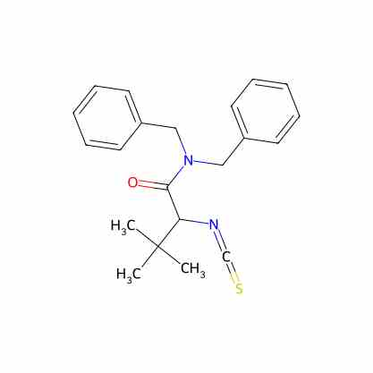 CC(C)(C)C(N=C=S)C(=O)N(Cc1ccccc1)Cc1ccccc1